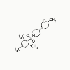 Cc1cc(C)c(S(=O)(=O)N2CCC(N3CCC(C)OC3)CC2)c(C)c1